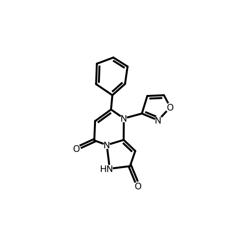 O=c1cc2n(-c3ccon3)c(-c3ccccc3)cc(=O)n2[nH]1